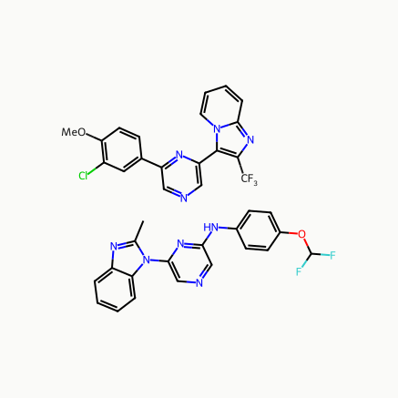 COc1ccc(-c2cncc(-c3c(C(F)(F)F)nc4ccccn34)n2)cc1Cl.Cc1nc2ccccc2n1-c1cncc(Nc2ccc(OC(F)F)cc2)n1